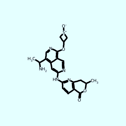 CC1Cc2nc(Nc3cc4c(C(C)N)cnc(OC5C[S+]([O-])C5)c4cn3)ccc2C(=O)O1